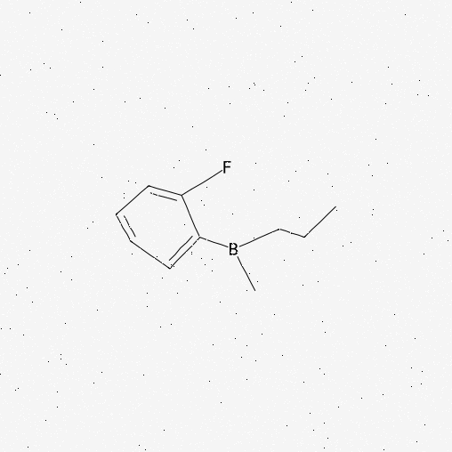 CCCB(C)c1ccccc1F